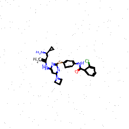 C=C(/C=C(\N)C1CC1)Nc1cc(N2CCC2)nc(Sc2ccc(NC(=O)c3ccccc3Cl)cc2)n1